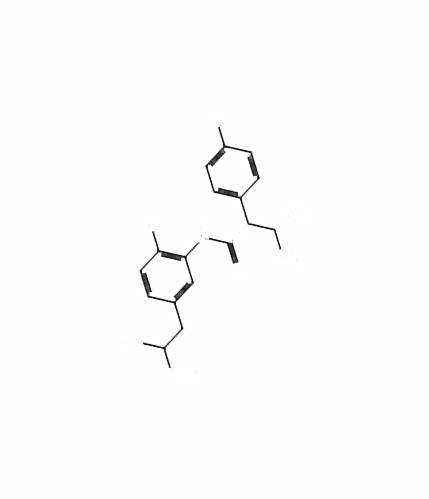 CC(Cc1ccc(F)c(NC(=O)[C@H](c2ccc(Cl)cc2)[C@@H](C)C(F)(F)F)c1)C(=O)O